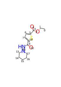 CCOC(=O)c1ccc(C(=O)NN2CCCCC2)s1